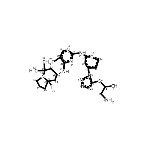 CC(CN)Sc1nnnn1-c1cccc(Nc2ncc(F)c(N[C@@H]3C[C@@H]4CCCN4C(C)(C)C3)n2)c1